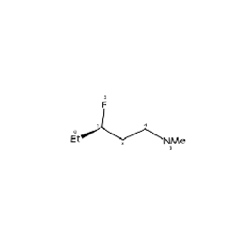 CC[C@@H](F)CCNC